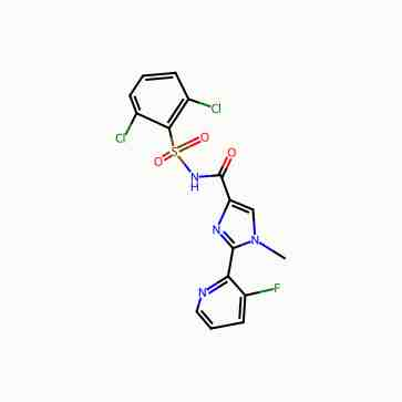 Cn1cc(C(=O)NS(=O)(=O)c2c(Cl)cccc2Cl)nc1-c1ncccc1F